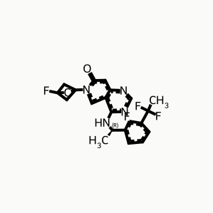 C[C@@H](Nc1ncnc2cc(=O)n(C34CC(F)(C3)C4)cc12)c1cccc(C(C)(F)F)c1F